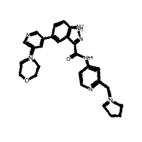 O=C(Nc1ccnc(CN2CCCC2)c1)c1n[nH]c2ccc(-c3cncc(N4CCOCC4)c3)cc12